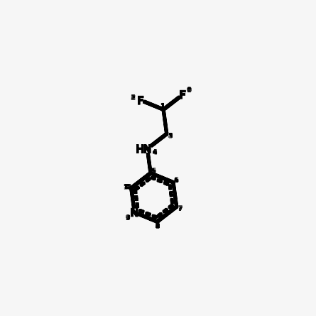 FC(F)CNc1cccnc1